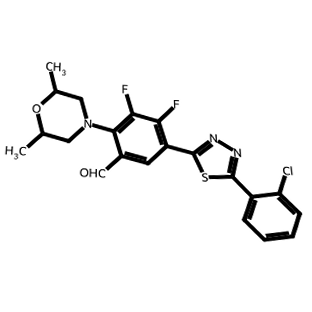 CC1CN(c2c(C=O)cc(-c3nnc(-c4ccccc4Cl)s3)c(F)c2F)CC(C)O1